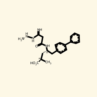 C[C@H](C[C@@H](Cc1ccc(-c2ccccc2)cc1)NC(=O)CC(=N)NNN)C(=O)O